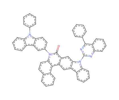 O=c1c2cc3c(cc2c2c4ccccc4ccc2n1-c1ccc2c(c1)c1ccccc1n2-c1ccccc1)c1ccccc1n3-c1nc(-c2ccccc2)c2ccccc2n1